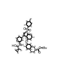 Cc1ccc(S(=O)(=O)n2cc(-c3ccnc(NC(O)C4(C)CC4)c3)c3c(Oc4ccc5c(c4)CN(C(=O)OC(C)(C)C)CC5)ccnc32)cc1